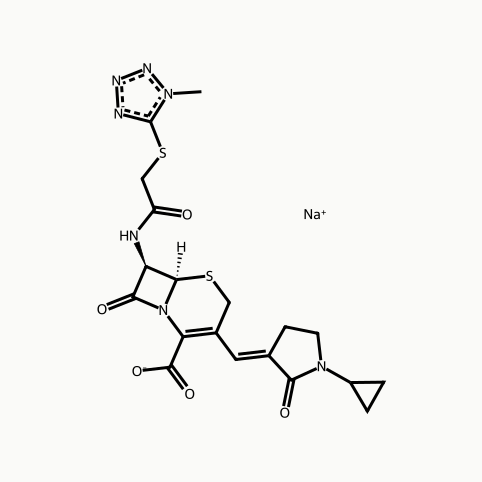 Cn1nnnc1SCC(=O)N[C@@H]1C(=O)N2C(C(=O)[O-])=C(/C=C3\CCN(C4CC4)C3=O)CS[C@H]12.[Na+]